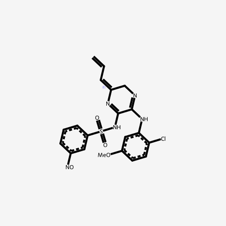 C=C/C=C1\CN=C(Nc2cc(OC)ccc2Cl)C(NS(=O)(=O)c2cccc(N=O)c2)=N1